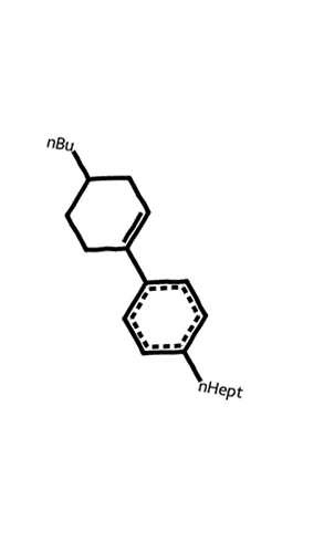 CCCCCCCc1ccc(C2=CCC(CCCC)CC2)cc1